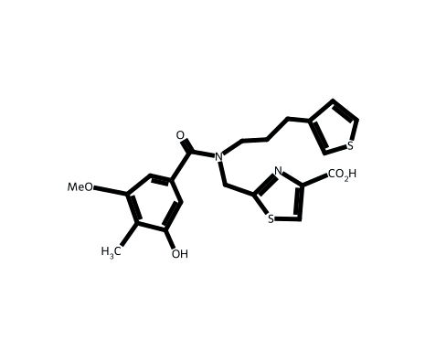 COc1cc(C(=O)N(CCCc2ccsc2)Cc2nc(C(=O)O)cs2)cc(O)c1C